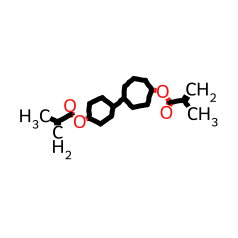 C=C(C)C(=O)OC1CCCC(C2CCC(OC(=O)C(=C)C)CC2)CC1